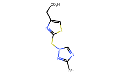 CCCc1ncn(Sc2nc(CC(=O)O)cs2)n1